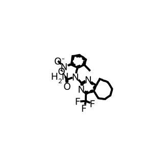 Cc1cccc([N+](=O)[O-])c1N(C(N)=O)c1nc2c(c(C(F)(F)F)n1)CCCCCC2